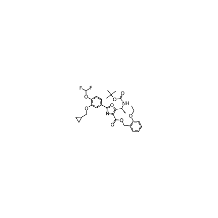 CCOc1ccccc1COC(=O)c1nc(-c2ccc(OC(F)F)c(OCC3CC3)c2)oc1[C@H](C)NC(=O)OC(C)(C)C